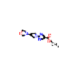 CCOC(=O)c1cnc(N2CC3C(C2)C3N2CCOCC2)nc1